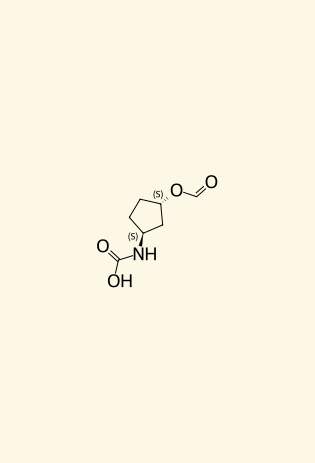 O=CO[C@H]1CC[C@H](NC(=O)O)C1